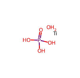 O.O=P(O)(O)O.[Ti]